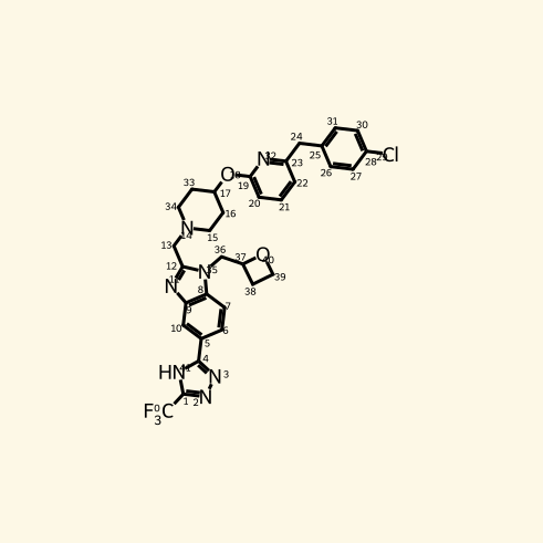 FC(F)(F)c1nnc(-c2ccc3c(c2)nc(CN2CCC(Oc4cccc(Cc5ccc(Cl)cc5)n4)CC2)n3CC2CCO2)[nH]1